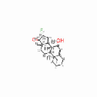 C[C@]12CCCCC1=C[C@@H](O)[C@@H]1[C@@H]2CC[C@]2(C)C(=O)[C@H](F)C[C@@H]12